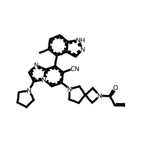 C=CC(=O)N1CC2(CCN(c3cn4c(N5CCCC5)cnc4c(-c4c(C)ccc5[nH]ncc45)c3C#N)C2)C1